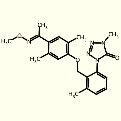 CON=C(C)c1cc(C)c(OCc2c(C)cccc2-n2nnn(C)c2=O)cc1C